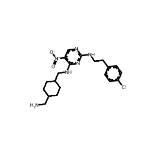 NCC1CCC(CNc2nc(NCCc3ccc(Cl)cc3)ncc2[N+](=O)[O-])CC1